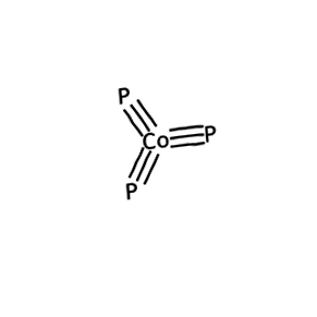 [P]#[Co](#[P])#[P]